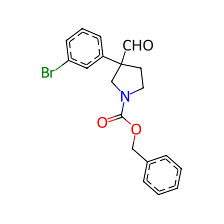 O=CC1(c2cccc(Br)c2)CCN(C(=O)OCc2ccccc2)C1